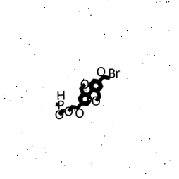 CPC(=O)OCC(=O)c1cc2c3c(c1)OCc1cc(C(=O)CBr)cc(c1-3)OC2